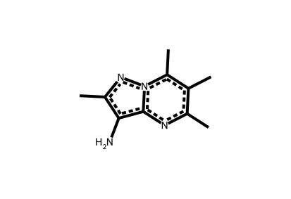 Cc1nc2c(N)c(C)nn2c(C)c1C